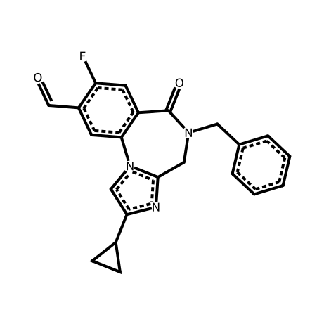 O=Cc1cc2c(cc1F)C(=O)N(Cc1ccccc1)Cc1nc(C3CC3)cn1-2